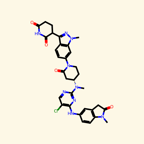 CN1C(=O)Cc2cc(Nc3nc(N(C)[C@H]4CCN(c5ccc6c(C7CCC(=O)NC7=O)nn(C)c6c5)C(=O)C4)ncc3Cl)ccc21